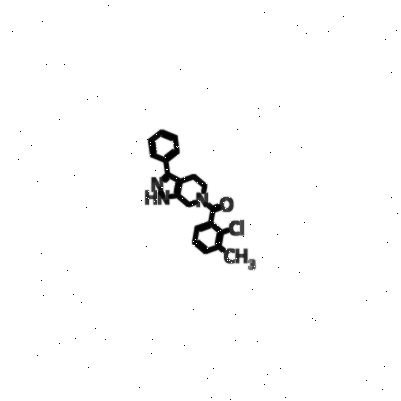 Cc1cccc(C(=O)N2CCc3c(-c4ccccc4)n[nH]c3C2)c1Cl